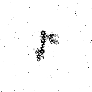 Cn1c(=O)n(C2CCC(=O)NC2=O)c2cccc(CCCCC3CCN(C(=O)[C@@H](NC(=O)[C@H](CCC(N)=O)NC(=O)OC(C)(C)C)C4CCCCC4)CC3)c21